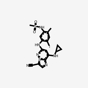 Cc1cc(I)c(Nc2cc(NC3CC3)c3ncc(C#N)n3n2)cc1NS(C)(=O)=O